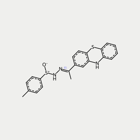 C/C(=N\N[S+]([O-])c1ccc(C)cc1)c1ccc2c(c1)Nc1ccccc1S2